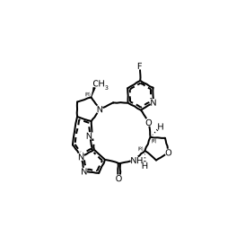 C[C@@H]1Cc2cn3ncc4c3nc2N1Cc1cc(F)cnc1O[C@H]1COC[C@H]1NC4=O